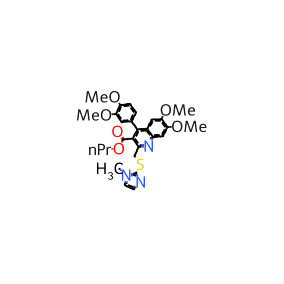 CCCOC(=O)c1c(CSc2nccn2C)nc2cc(OC)c(OC)cc2c1-c1ccc(OC)c(OC)c1